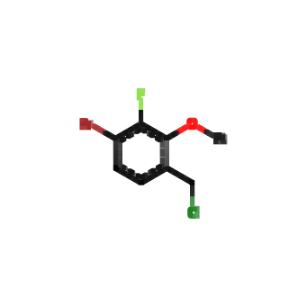 CCOc1c(CCl)ccc(Br)c1F